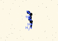 C=C1N=c2[nH]c(-c3cccc(N4CCN(C)CC4)c3)cc2=CN1c1ccc(CNCCCN)cc1